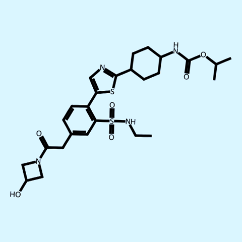 CCNS(=O)(=O)c1cc(CC(=O)N2CC(O)C2)ccc1-c1cnc(C2CCC(NC(=O)OC(C)C)CC2)s1